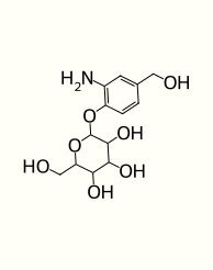 Nc1cc(CO)ccc1OC1OC(CO)C(O)C(O)C1O